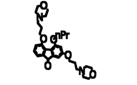 CCCOc1cc(OCCCN2CCOCC2)cc2c1-c1c(OCCCN3CCOCC3)cccc1C2=O